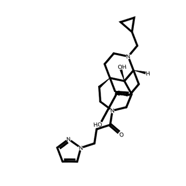 O=C(CCn1cccn1)N1CC[C@]23CCN(CC4CC4)[C@H](Cc4ccc(O)cc42)[C@]3(O)CC1